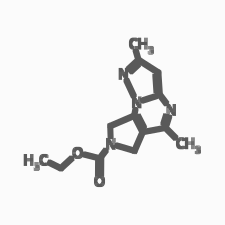 CCOC(=O)N1Cc2c(C)nc3cc(C)nn3c2C1